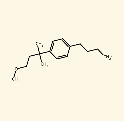 [CH2]CCCc1ccc(C(C)(C)CCOC)cc1